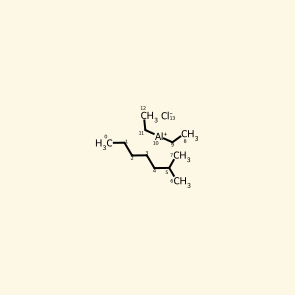 CCCCCC(C)C.C[CH2][Al+][CH2]C.[Cl-]